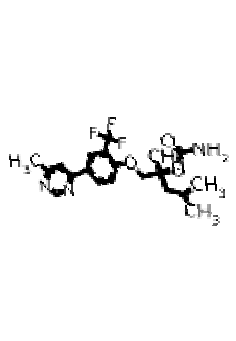 Cc1cc(-c2ccc(OCC(C)(CC(C)C)OC(N)=O)c(C(F)(F)F)c2)ncn1